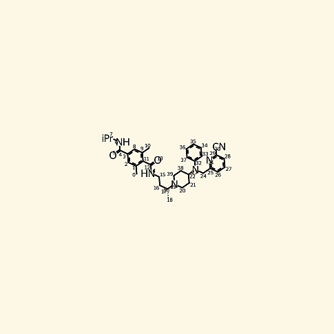 Cc1cc(C(=O)NC(C)C)cc(C)c1C(=O)NCC[C@@H](C)N1CCC(N(Cc2cccc(C#N)n2)c2ccccc2)CC1